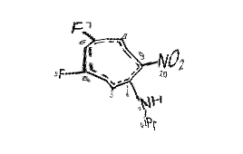 CC(C)Nc1cc(F)c(F)cc1[N+](=O)[O-]